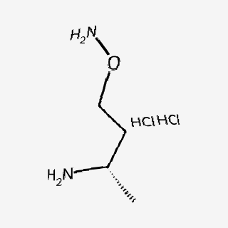 C[C@H](N)CCON.Cl.Cl